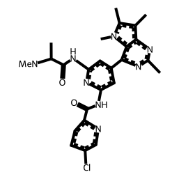 CNC(C)C(=O)Nc1cc(-c2nc(C)nc3c(C)c(C)n(C)c23)cc(NC(=O)c2ccc(Cl)cn2)n1